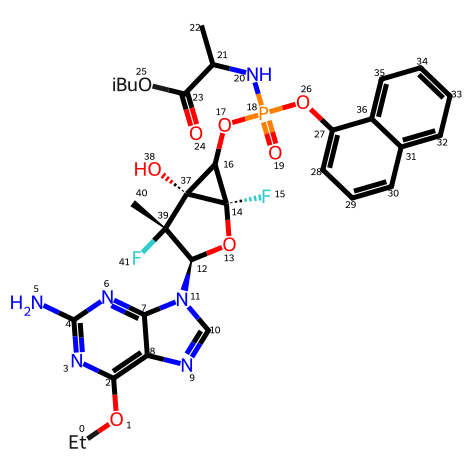 CCOc1nc(N)nc2c1ncn2[C@@H]1O[C@]2(F)C(OP(=O)(NC(C)C(=O)OCC(C)C)Oc3cccc4ccccc34)[C@]2(O)[C@@]1(C)F